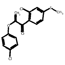 C=C(Oc1ccc(Cl)cc1)C(=O)c1ccc(SC)cc1Cl